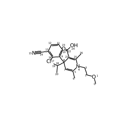 COCCN1C(C)=CC(c2cccc(C#N)c2Cl)(C(C)C)C(C(=O)O)=C1C